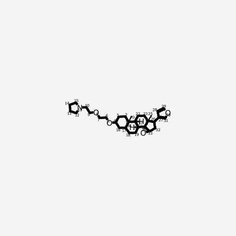 C[C@]12CCC(OCCOCCN3CCCC3)CC1CC[C@@H]1[C@H]2CC[C@]2(C)C(c3ccoc3)CC3O[C@]312